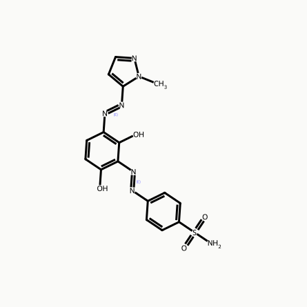 Cn1nccc1/N=N/c1ccc(O)c(/N=N/c2ccc(S(N)(=O)=O)cc2)c1O